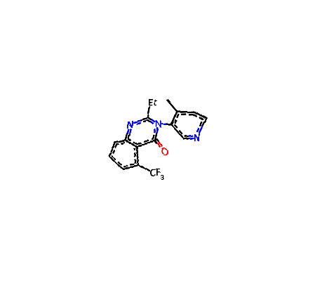 CCc1nc2cccc(C(F)(F)F)c2c(=O)n1-c1cnccc1C